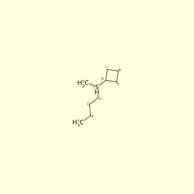 [CH2][SH](CCCC)C1CCC1